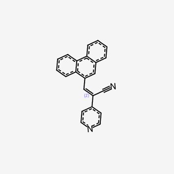 N#C/C(=C\c1cc2ccccc2c2ccccc12)c1ccncc1